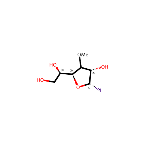 COC1[C@H]([C@H](O)CO)O[C@@H](I)[C@H]1O